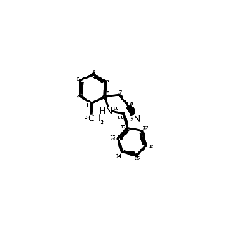 CC1C=CC=CC1(CC#N)NCc1ccccc1